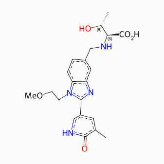 COCCn1c(-c2c[nH]c(=O)c(C)c2)nc2cc(CN[C@H](C(=O)O)[C@@H](C)O)ccc21